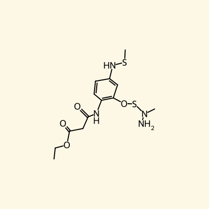 CCOC(=O)CC(=O)Nc1ccc(NSC)cc1OSN(C)N